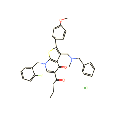 CCCC(=O)c1cn(Cc2ccccc2F)c2sc(-c3ccc(OC)cc3)c(CN(C)Cc3ccccc3)c2c1=O.Cl